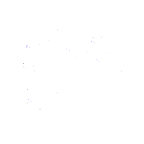 CCc1[nH]c(CN2CCC3(CCN/C3=C\C(=N)c3cnc4ccccc4c3)C2)nc1C